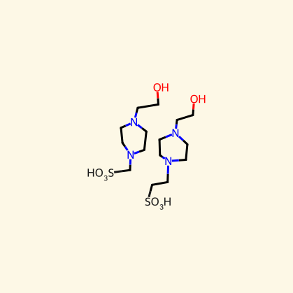 O=S(=O)(O)CCN1CCN(CCO)CC1.O=S(=O)(O)CN1CCN(CCO)CC1